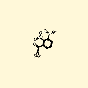 O=C([C]1SS1)c1cccc([N+](=O)[O-])c1[N+](=O)[O-]